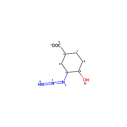 N=[N+]=NC1CC(C(=O)[O-])CCC1O